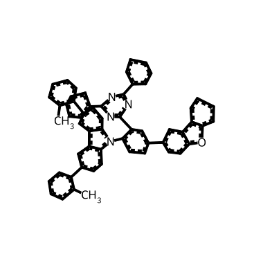 Cc1ccccc1-c1ccc2c(c1)c1cc(-c3ccccc3C)ccc1n2-c1ccc(-c2ccc3oc4ccccc4c3c2)cc1-c1nc(-c2ccccc2)nc(-c2ccccc2)n1